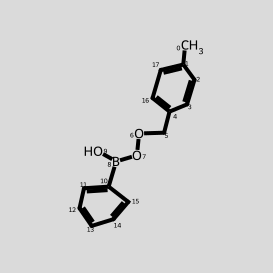 Cc1ccc(COOB(O)c2ccccc2)cc1